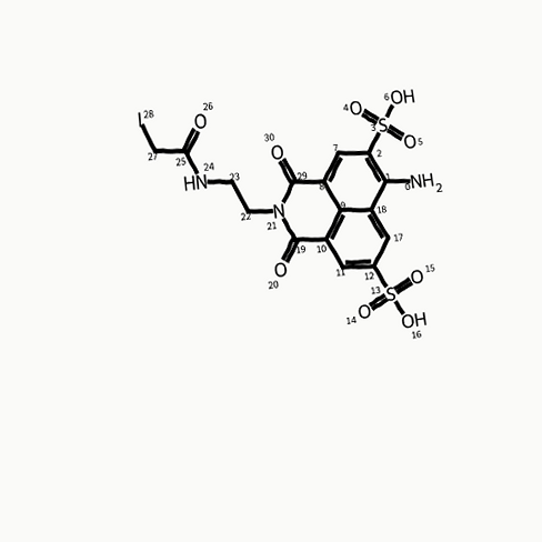 Nc1c(S(=O)(=O)O)cc2c3c(cc(S(=O)(=O)O)cc13)C(=O)N(CCNC(=O)CI)C2=O